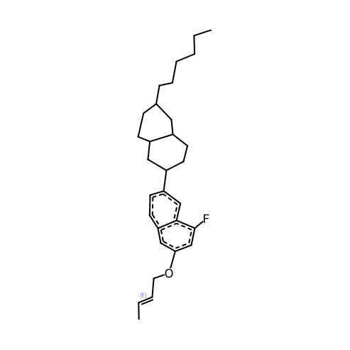 C/C=C/COc1cc(F)c2cc(C3CCC4CC(CCCCCC)CCC4C3)ccc2c1